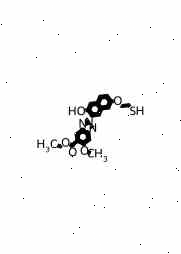 CCOC(=O)c1cc2nn(-c3cc4cc(OCCS)ccc4cc3O)nc2cc1OC